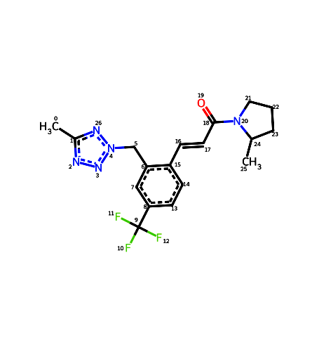 Cc1nnn(Cc2cc(C(F)(F)F)ccc2C=CC(=O)N2CCCC2C)n1